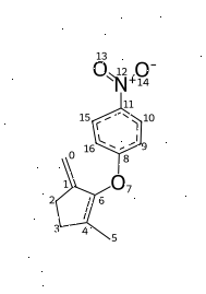 C=C1CCC(C)=C1Oc1ccc([N+](=O)[O-])cc1